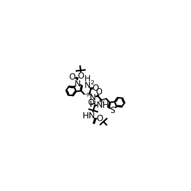 C=C(NC(C)(C)C(=O)N[C@H](Cc1csc2ccccc12)C(=O)N[C@H](Cc1cn(C(=O)OC(C)(C)C)c2ccccc12)C(N)=O)OC(C)(C)C